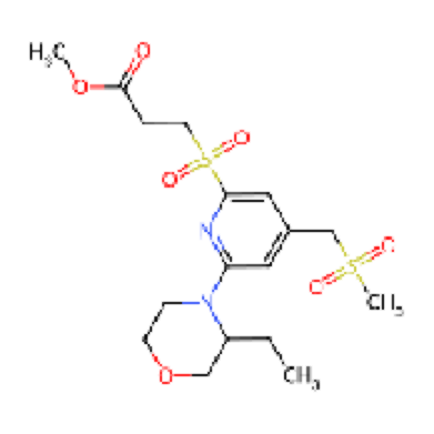 CCC1COCCN1c1cc(CS(C)(=O)=O)cc(S(=O)(=O)CCC(=O)OC)n1